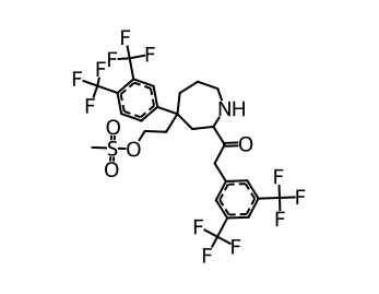 CS(=O)(=O)OCCC1(c2ccc(C(F)(F)F)c(C(F)(F)F)c2)CCCNC(C(=O)Cc2cc(C(F)(F)F)cc(C(F)(F)F)c2)C1